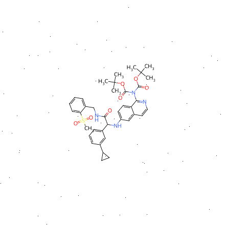 CC(C)(C)OC(=O)N(C(=O)OC(C)(C)C)c1nccc2cc(NC(C(=O)NCc3ccccc3S(C)(=O)=O)c3cccc(C4CC4)c3)ccc12